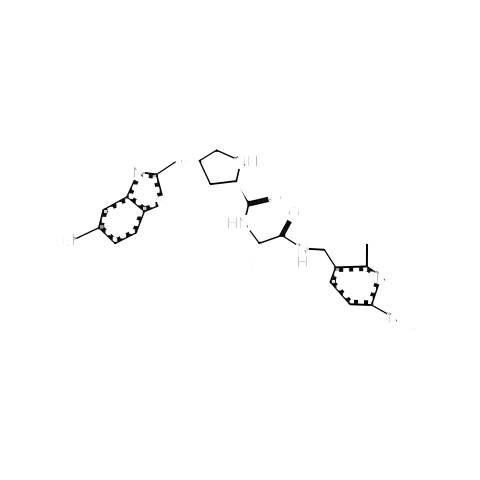 Cc1nc(N)ccc1CNC(=O)[C@H](C)NC(=O)[C@H]1C[C@H](Cc2nc3cc(Cl)ccc3s2)CN1